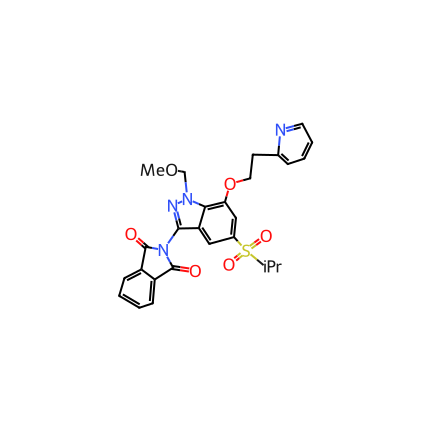 COCn1nc(N2C(=O)c3ccccc3C2=O)c2cc(S(=O)(=O)C(C)C)cc(OCCc3ccccn3)c21